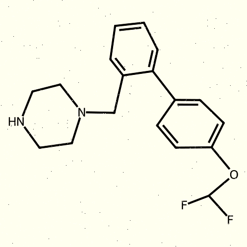 FC(F)Oc1ccc(-c2ccccc2CN2CCNCC2)cc1